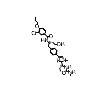 CCCOc1ccc(C(=O)N[C@H](CCO)Cc2ccc(-c3cn(C)c([C@@H](CC)NC(=O)NC)n3)cc2)cc1Cl